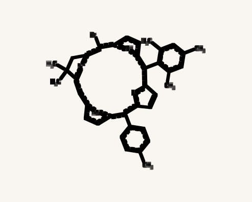 Cc1ccc(-c2c3nc(c(-c4c(C)cc(C)cc4C)c4ccc([nH]4)c(Br)c4nc(cc5ccc2[nH]5)C(C)(C)C4)C=C3)cc1